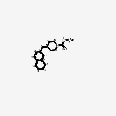 CC(C)(C)OC(=O)N1CCC(=Cc2ccc3ccccc3c2)CC1